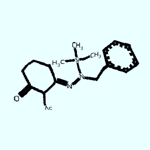 CC(=O)C1C(=O)CCCC1=NN(Cc1ccccc1)[Si](C)(C)C